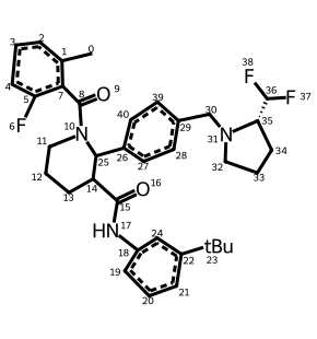 Cc1cccc(F)c1C(=O)N1CCCC(C(=O)Nc2cccc(C(C)(C)C)c2)C1c1ccc(CN2CCC[C@H]2C(F)F)cc1